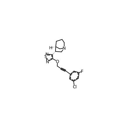 Fc1cc(Cl)cc(C#CCOc2nsnc2[C@H]2CN3CCC[C@H]2C3)c1